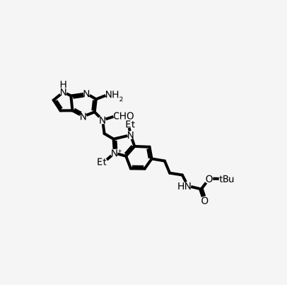 CCn1c(CN(C=O)c2nc3cc[nH]c3nc2N)[n+](CC)c2ccc(CCCNC(=O)OC(C)(C)C)cc21